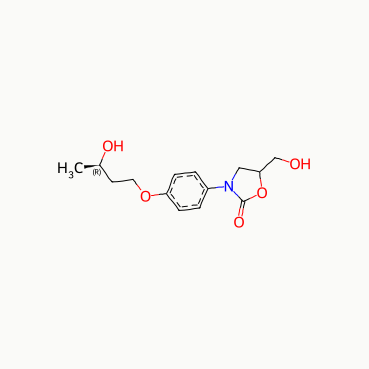 C[C@@H](O)CCOc1ccc(N2CC(CO)OC2=O)cc1